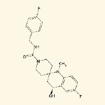 CN1c2ccc(F)cc2[C@@H](O)CC12CCN(C(=O)NCc1ccc(F)cc1)CC2